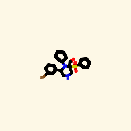 O=CC1(S(=O)(=O)c2ccccc2)CNCC(c2cccc(Br)c2)N1c1ccccc1